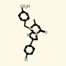 CCOC(=O)c1ccc(Cn2c(C)cc(=O)n3cc(-c4ccc(Cl)cc4)nc23)cc1